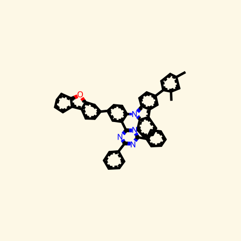 Cc1ccc(-c2ccc3c(c2)c2ccccc2n3-c2ccc(-c3ccc4c(c3)oc3ccccc34)cc2-c2nc(-c3ccccc3)nc(-c3ccccc3)n2)c(C)c1